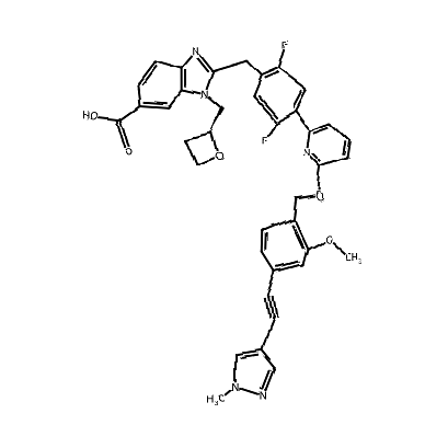 COc1cc(C#Cc2cnn(C)c2)ccc1COc1cccc(-c2cc(F)c(Cc3nc4ccc(C(=O)O)cc4n3C[C@@H]3CCO3)cc2F)n1